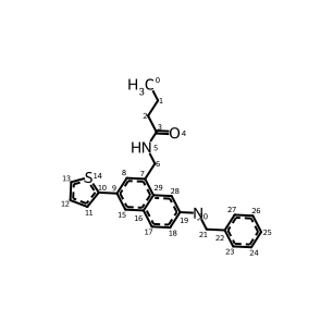 CCCC(=O)NCc1cc(-c2cccs2)cc2ccc([N]Cc3ccccc3)cc12